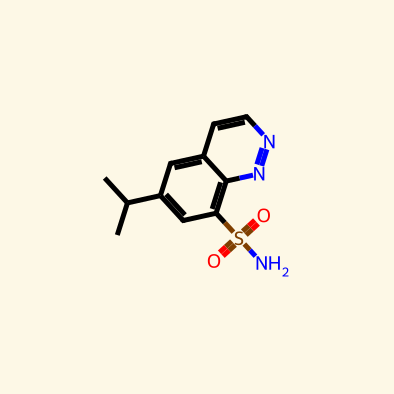 CC(C)c1cc(S(N)(=O)=O)c2nnccc2c1